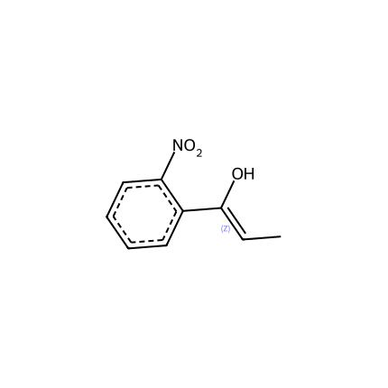 C/C=C(\O)c1ccccc1[N+](=O)[O-]